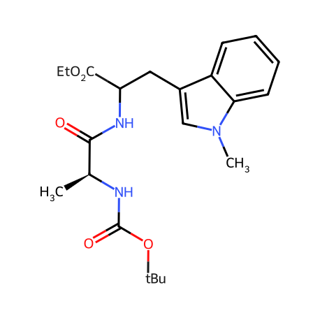 CCOC(=O)C(Cc1cn(C)c2ccccc12)NC(=O)[C@H](C)NC(=O)OC(C)(C)C